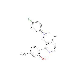 COc1ccc(-c2nccc(C=O)c2CN(C)c2ccc(F)cc2)c(O)c1